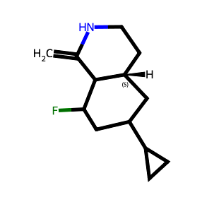 C=C1NCC[C@@H]2CC(C3CC3)CC(F)C12